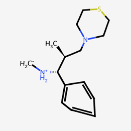 [CH2-][NH2+][C@@H](c1ccccc1)[C@@H](C)CN1CCSCC1